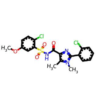 COc1ccc(Cl)c(S(=O)(=O)NC(=O)c2nc(-c3ccccc3Cl)n(C)c2C)c1